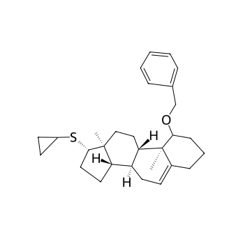 C[C@]12CC[C@H]3[C@@H](CC=C4CCCC(OCc5ccccc5)[C@@]43C)[C@@H]1CC[C@@H]2SC1CC1